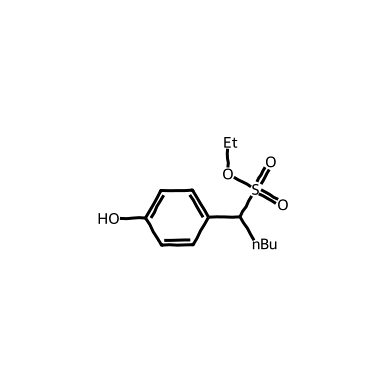 CCCCC(c1ccc(O)cc1)S(=O)(=O)OCC